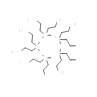 CCC[Si]1(CCC)O[Si](CCC)(CCC)O[Si](CCC)(CCC)O[Si](CCC)(CCC)O[Si](CCC)(CCC)O1